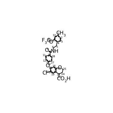 Cc1ccc(CCNC(=O)c2ccc(Oc3cc4c(cc3Cl)C(C(=O)O)CCO4)cc2)c(OC(F)(F)F)c1